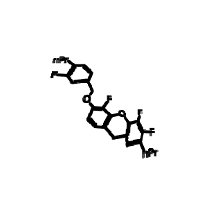 CCCc1ccc(COc2ccc3c(c2F)Oc2c(cc(CCC)c(F)c2F)C3)cc1F